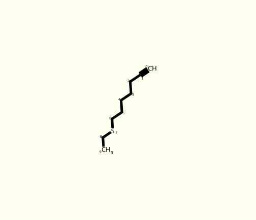 C#CCCCCCS[CH]C